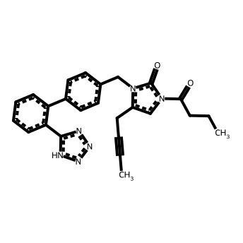 CC#CCc1cn(C(=O)CCC)c(=O)n1Cc1ccc(-c2ccccc2-c2nnn[nH]2)cc1